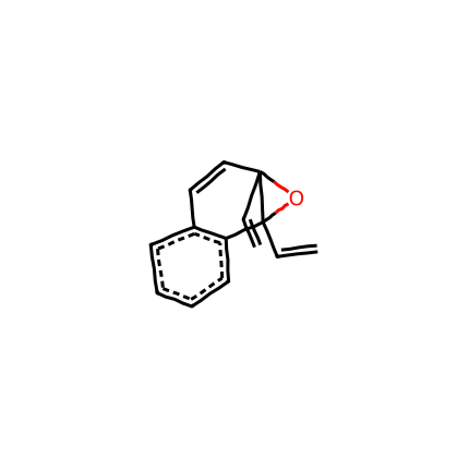 C=CC12C=Cc3ccccc3C1(C=C)O2